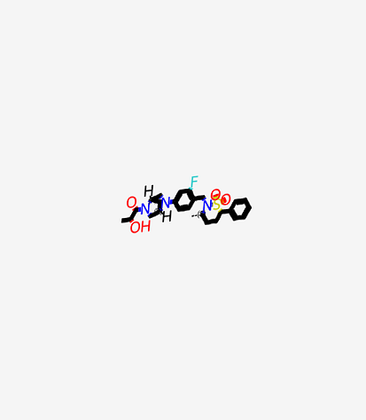 CC(O)C(=O)N1C[C@H]2C[C@@H]1CN2c1ccc(CN2[C@@H](C)CCC(c3ccccc3)S2(=O)=O)c(F)c1